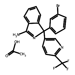 CC(=O)O.NC1=NC(c2ccc(C(F)(F)F)nc2)(c2cccc(Br)c2)c2ccccc21